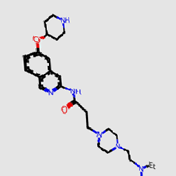 CCN(CC)CCN1CCN(CCC(=O)Nc2cc3cc(OC4CCNCC4)ccc3cn2)CC1